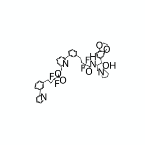 O=C(N[C@H](CN1CCCC1)[C@H](O)c1ccc2c(c1)OCCO2)C(F)(F)CCc1cccc(-c2cccc(COC(=O)C(F)(F)CCc3cccc(-c4ccccn4)c3)n2)c1